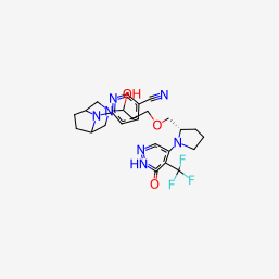 N#Cc1ccc(N2C3CCC2CN(C(O)CCOC[C@@H]2CCCN2c2cn[nH]c(=O)c2C(F)(F)F)C3)nc1